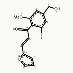 COc1cc(CO)cc(I)c1C(=O)/C=C/c1ccco1